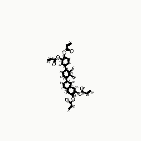 C=CC(=O)Oc1ccc(-c2ccc(-c3ccc4cc(OC(=O)C=C)c(OC(=O)C=C)cc4c3)c(F)c2F)cc1OC(=O)C=C